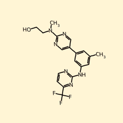 Cc1cc(Nc2nccc(C(F)(F)F)n2)cc(-c2cnc(N(C)CCO)nc2)c1